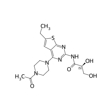 CCc1cc2c(N3CCN(C(C)=O)CC3)nc(NC(=O)[C@@H](O)CO)nc2s1